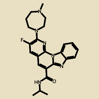 CC(C)NC(=O)c1cc2cc(F)c(N3CCCN(C)CC3)nc2n2c1nc1ccccc12